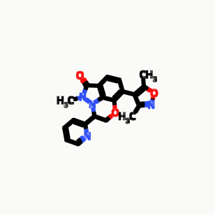 Cc1noc(C)c1-c1ccc2c(=O)n(C)n3c2c1OCC3c1ccccn1